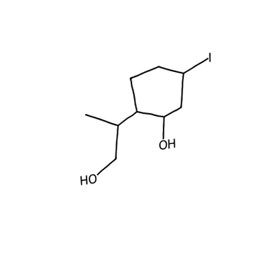 CC(CO)C1CCC(I)CC1O